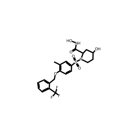 Cc1cc(S(=O)(=O)N2CCC(O)CC2C(=O)NO)ccc1OCc1ccccc1C(F)(F)F